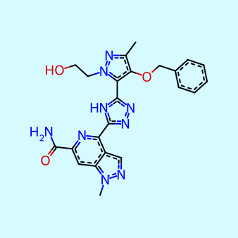 Cc1nn(CCO)c(-c2nnc(-c3nc(C(N)=O)cc4c3cnn4C)[nH]2)c1OCc1ccccc1